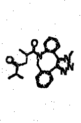 CC(C)C(=O)CC(C)C(=O)N1Cc2ccccc2-c2nnn(C)c2-c2ccccc21